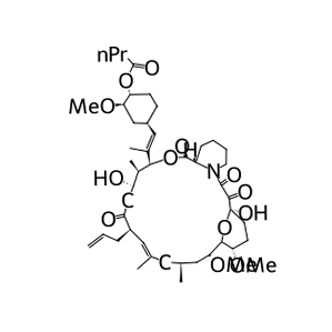 C=CC[C@@H]1/C=C(\C)C[C@H](C)C[C@H](OC)C2O[C@@](O)(C(=O)C(=O)N3CCCC[C@H]3C(=O)O[C@H](/C(C)=C/[C@@H]3CC[C@@H](OC(=O)CCC)[C@H](OC)C3)[C@H](C)[C@@H](O)CC1=O)[C@H](C)C[C@@H]2OC